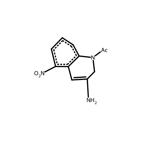 CC(=O)N1CC(N)=Cc2c1cccc2[N+](=O)[O-]